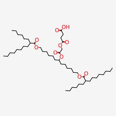 CCCCCCCCC(CCCCCC)C(=O)OCCCCCCC(CCCCCCOC(=O)C(CCCCCC)CCCCCCCC)OC(=O)COC(=O)CCC(=O)O